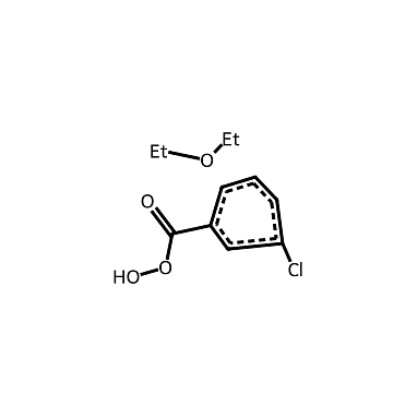 CCOCC.O=C(OO)c1cccc(Cl)c1